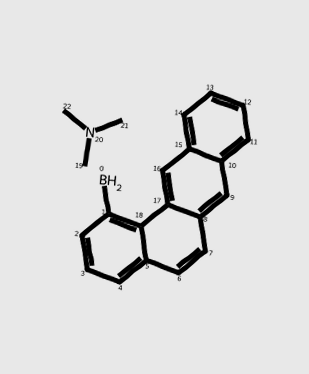 Bc1cccc2ccc3cc4ccccc4cc3c12.CN(C)C